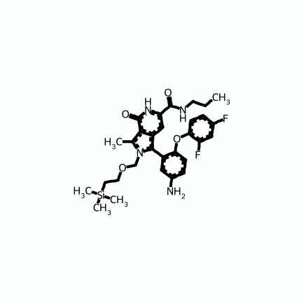 CCCNC(=O)c1cc2c(-c3cc(N)ccc3Oc3ccc(F)cc3F)n(COCC[Si](C)(C)C)c(C)c2c(=O)[nH]1